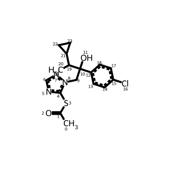 CC(=O)Sc1ncnn1CC(O)(c1ccc(Cl)cc1)C(C)C1CC1